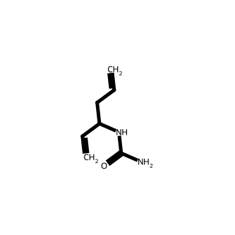 C=CCC(C=C)NC(N)=O